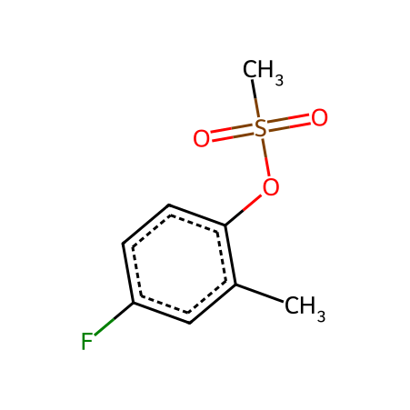 Cc1cc(F)ccc1OS(C)(=O)=O